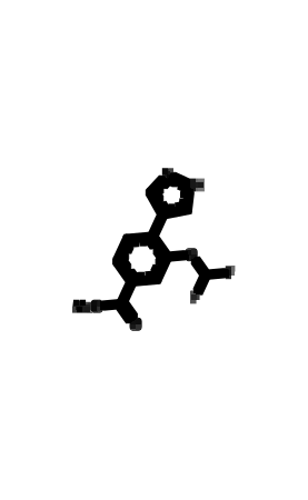 COC(=O)c1ccc(-c2cn[nH]c2)c(OC(F)F)c1